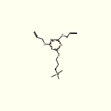 C=CCOc1nc(OCC=C)nc(OCCC[Si](C)(C)C)n1